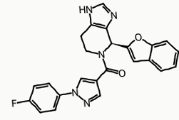 O=C(c1cnn(-c2ccc(F)cc2)c1)N1CCc2[nH]cnc2[C@H]1c1cc2ccccc2o1